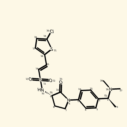 C[C@@H](c1ccc(N2CC[C@H](NS(=O)(=O)C=Cc3ccc(Cl)s3)C2=O)cc1)N(C)C